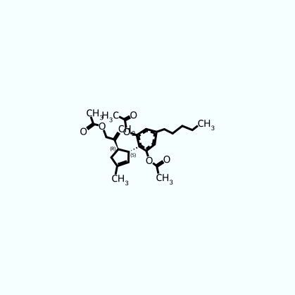 C=C(COC(C)=O)[C@@H]1CC(C)=C[C@H]1c1c(OC(C)=O)cc(CCCCC)cc1OC(C)=O